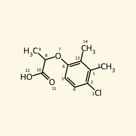 Cc1c(Cl)ccc(OC(C)C(=O)O)c1C